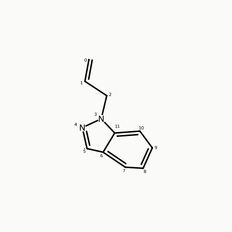 C=CCn1n[c]c2ccccc21